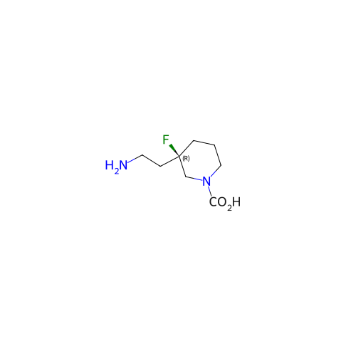 NCC[C@]1(F)CCCN(C(=O)O)C1